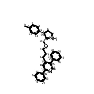 Cc1ccc([C@H]2CCN[C@@H]2COCCCc2cc(-c3ccccc3)nnc2-c2ccccc2)cc1